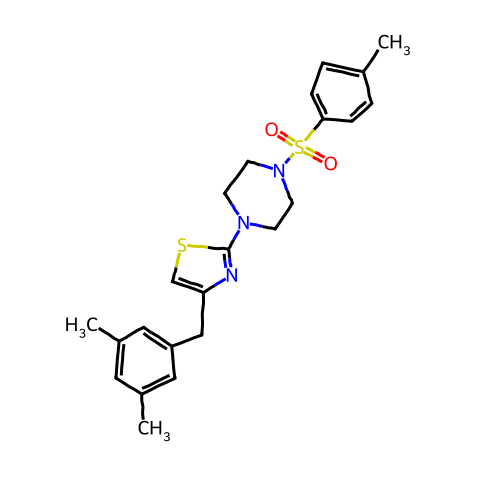 Cc1ccc(S(=O)(=O)N2CCN(c3nc(Cc4cc(C)cc(C)c4)cs3)CC2)cc1